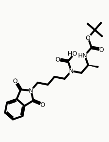 C[C@@H](CN(CCCCN1C(=O)c2ccccc2C1=O)C(=O)O)NC(=O)OC(C)(C)C